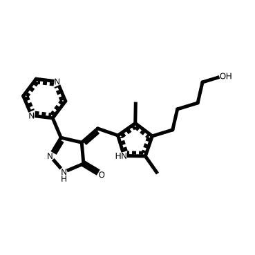 Cc1[nH]c(C=C2C(=O)NN=C2c2cnccn2)c(C)c1CCCCO